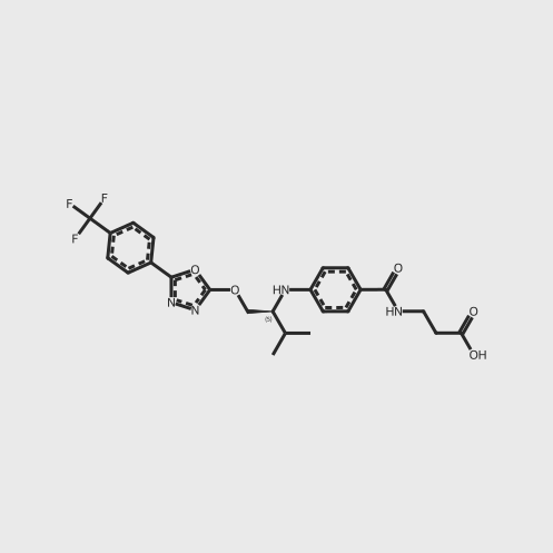 CC(C)[C@@H](COc1nnc(-c2ccc(C(F)(F)F)cc2)o1)Nc1ccc(C(=O)NCCC(=O)O)cc1